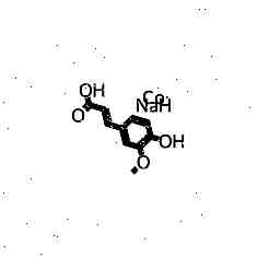 COc1cc(C=CC(=O)O)ccc1O.[Co].[NaH]